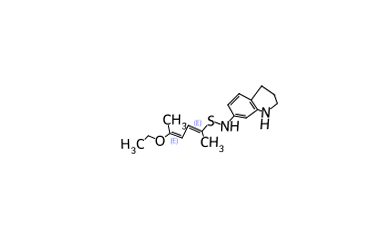 CCO/C(C)=C/C=C(\C)SNc1ccc2c(c1)NCCC2